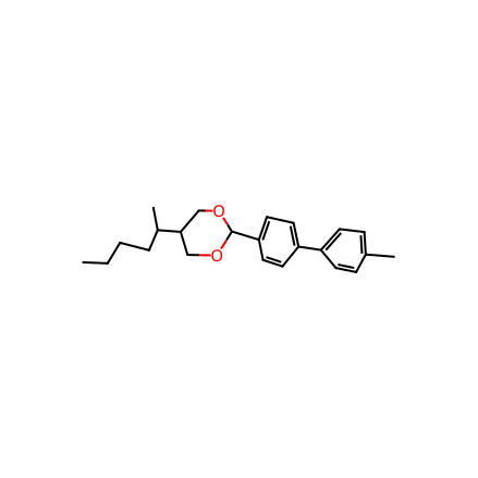 CCCCC(C)C1COC(c2ccc(-c3ccc(C)cc3)cc2)OC1